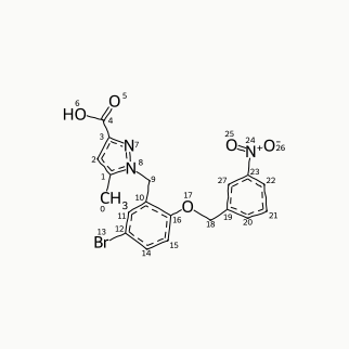 Cc1cc(C(=O)O)nn1Cc1cc(Br)ccc1OCc1cccc([N+](=O)[O-])c1